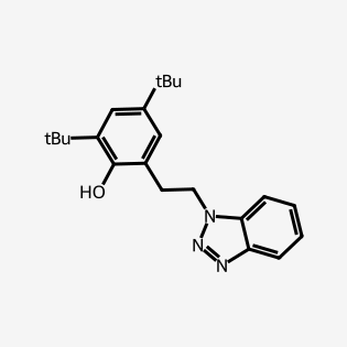 CC(C)(C)c1cc(CCn2nnc3ccccc32)c(O)c(C(C)(C)C)c1